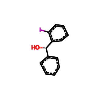 O[C@@H](c1ccccc1)c1ccccc1I